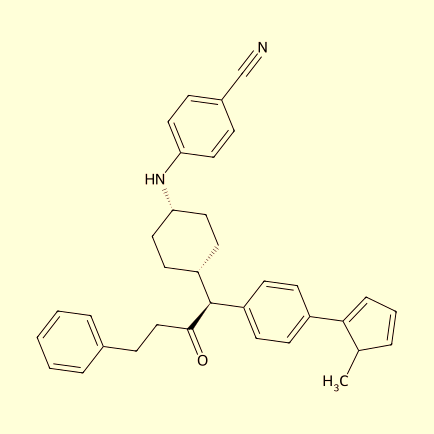 CC1C=CC=C1c1ccc([C@@H](C(=O)CCc2ccccc2)[C@H]2CC[C@@H](Nc3ccc(C#N)cc3)CC2)cc1